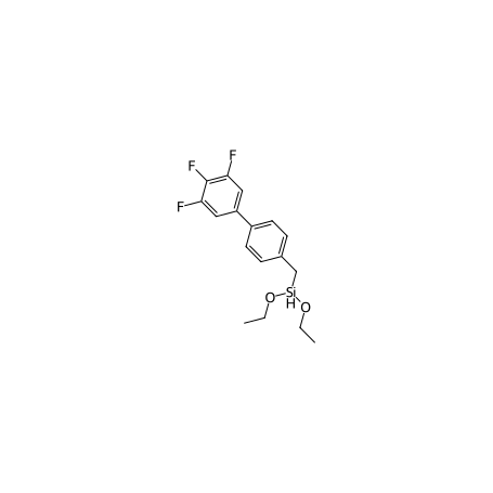 CCO[SiH](Cc1ccc(-c2cc(F)c(F)c(F)c2)cc1)OCC